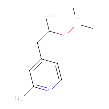 C[SiH](C)OC(Cc1ccnc(C#N)c1)C(C)(C)C